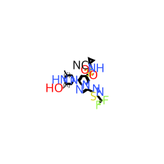 C[C@H]1CN(c2cc(S(=O)(=O)NC3(C#N)CC3)cn3c(-c4nnc(C(F)F)s4)cnc23)C[C@H](CO)N1